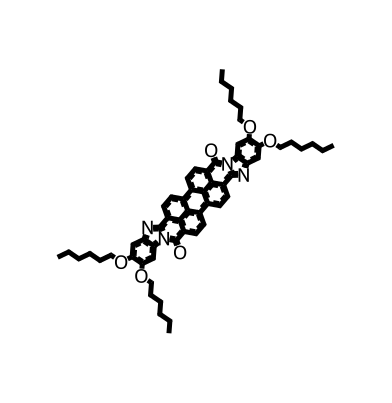 CCCCCCOc1cc2nc3c4ccc5c6ccc7c(=O)n8c9cc(OCCCCCC)c(OCCCCCC)cc9nc8c8ccc(c9ccc(c(=O)n3c2cc1OCCCCCC)c4c95)c6c78